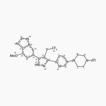 CCN1CCN(c2ccc(-c3n[nH]c(-c4cc(OC)c5ncnn5c4)c3CC(F)(F)F)nc2)CC1